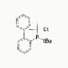 CCC(C)(C)P(c1ccccc1-c1ccccc1)C(C)(C)C